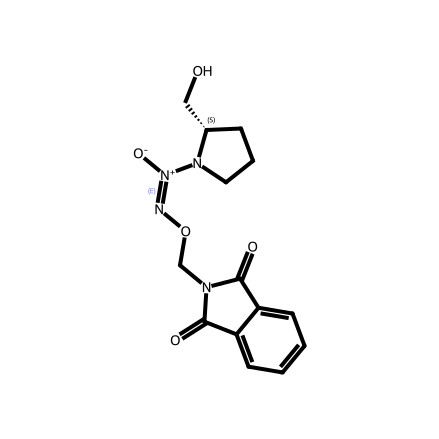 O=C1c2ccccc2C(=O)N1CO/N=[N+](/[O-])N1CCC[C@H]1CO